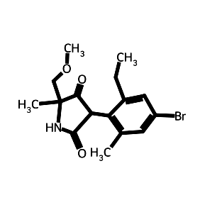 CCc1cc(Br)cc(C)c1C1C(=O)NC(C)(COC)C1=O